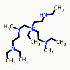 CCNCC[N+](CC)(CCN(C)CC)CN(C)CCN(CC)CC